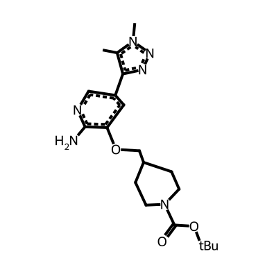 Cc1c(-c2cnc(N)c(OCC3CCN(C(=O)OC(C)(C)C)CC3)c2)nnn1C